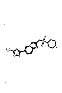 O=S(=O)(Cc1cn2cc(-c3noc(C(F)(F)F)n3)ccc2n1)C1CCCCC1